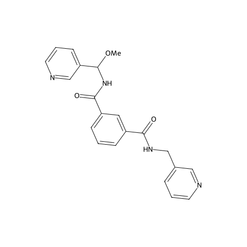 COC(NC(=O)c1cccc(C(=O)NCc2cccnc2)c1)c1cccnc1